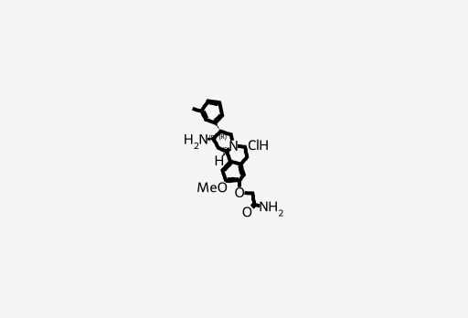 COc1cc2c(cc1OCC(N)=O)CCN1C[C@@H](c3cccc(C)c3)[C@H](N)C[C@H]21.Cl